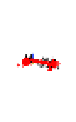 COc1ccc(C2(O)OC(=O)C(c3ccc4c(c3)OCO4)=C2Cc2cc(OC)c(OC)c(OCCOCCOCCOCCNC(=S)Nc3ccc4c(c3)C(=O)OC43c4ccc(C)cc4Oc4cc(O)ccc43)c2)cc1